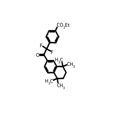 CCOC(=O)c1ccc(C(F)(F)C(=O)c2ccc3c(c2)C(C)(C)CCC3(C)C)cc1